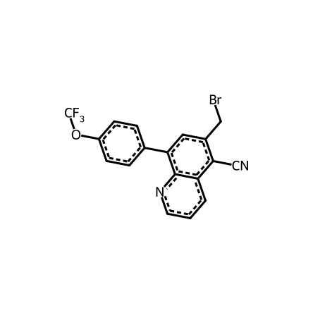 N#Cc1c(CBr)cc(-c2ccc(OC(F)(F)F)cc2)c2ncccc12